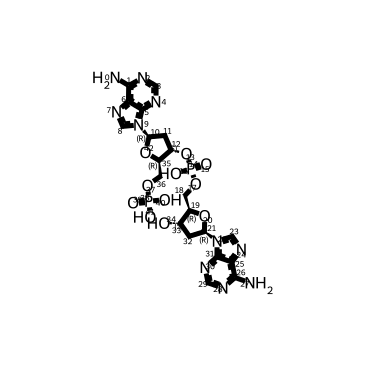 Nc1ncnc2c1ncn2[C@H]1C[C@H](OP(=O)(O)OC[C@H]2O[C@@H](n3cnc4c(N)ncnc43)C[C@@H]2O)[C@@H](COP(=O)(O)O)O1